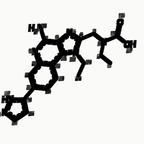 CCN(Cc1nc2c(N)nc3cc(-c4ccn[nH]4)ccc3c2n1CC)C(=O)O